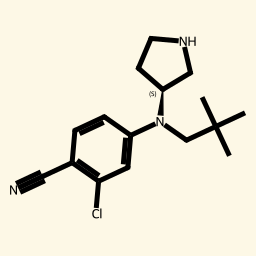 CC(C)(C)CN(c1ccc(C#N)c(Cl)c1)[C@H]1CCNC1